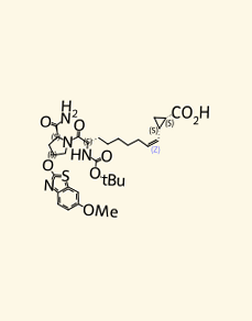 COc1ccc2nc(O[C@@H]3C[C@@H](C(N)=O)N(C(=O)[C@H](CCCCC/C=C\[C@@H]4C[C@@H]4C(=O)O)NC(=O)OC(C)(C)C)C3)sc2c1